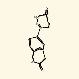 O=C1CCC(c2ccc3c(c2)CC(=O)N3)=NN1